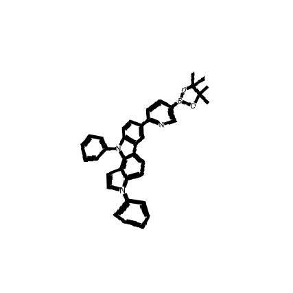 CC1(C)OB(c2ccc(-c3ccc4c(c3)c3ccc5c(ccn5-c5ccccc5)c3n4-c3ccccc3)nc2)OC1(C)C